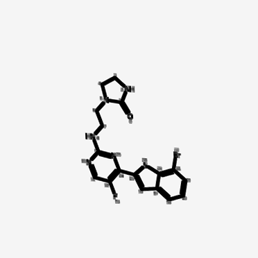 O=C1NCCN1CCNc1ncc(F)c(-c2cc3cccc(Br)c3s2)n1